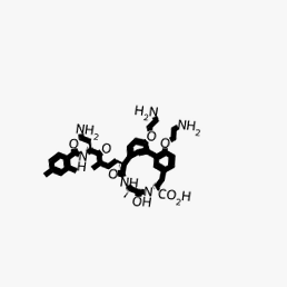 Cc1ccc(C(=O)N[C@@H](CCN)C(=O)C(C)CC[C@@H]2C(=O)N[C@@H](C)C(=O)N[C@H](C(=O)O)Cc3ccc(OCCN)c(c3)-c3cc2ccc3OCCN)c(C)c1